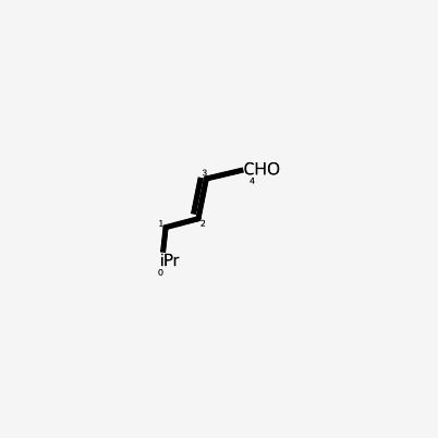 CC(C)CC=CC=O